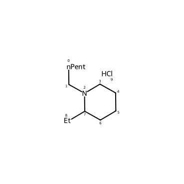 CCCCCCN1CCCCC1CC.Cl